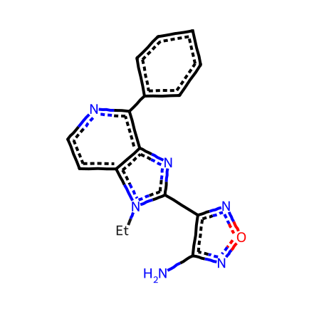 CCn1c(-c2nonc2N)nc2c(-c3ccccc3)nccc21